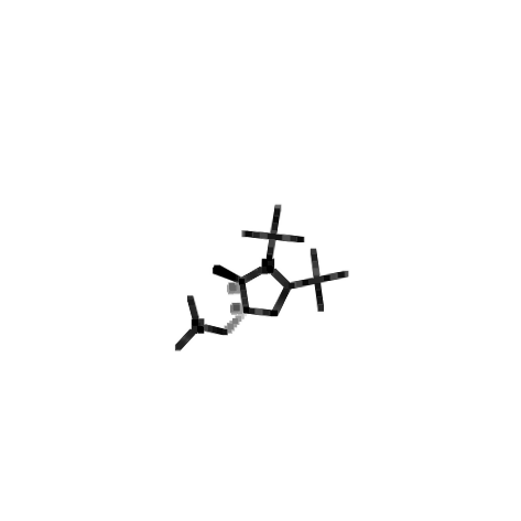 C[C@@H]1[C@@H](CN(C)C)CC(C(C)(C)C)N1C(C)(C)C